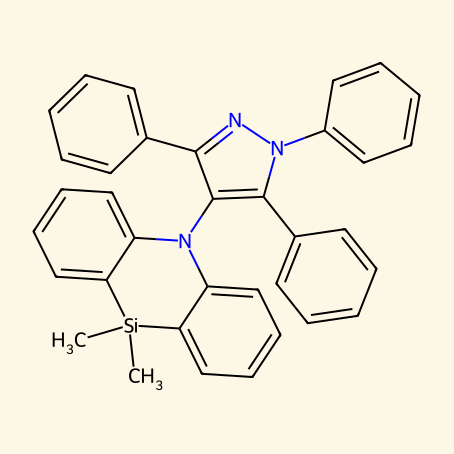 C[Si]1(C)c2ccccc2N(c2c(-c3ccccc3)nn(-c3ccccc3)c2-c2ccccc2)c2ccccc21